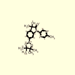 Cc1cnc(N2C(=O)C(C)(C)c3ccc(B4OC(C)(C)C(C)(C)O4)cc32)cn1